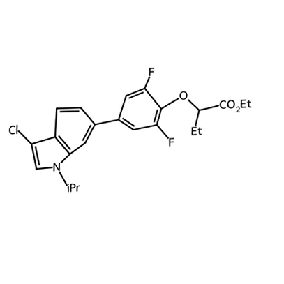 CCOC(=O)C(CC)Oc1c(F)cc(-c2ccc3c(Cl)cn(C(C)C)c3c2)cc1F